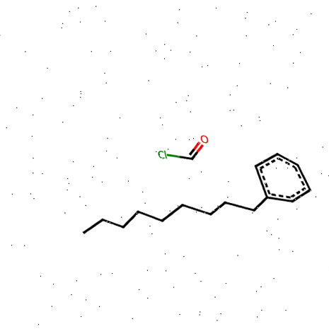 CCCCCCCCCc1ccccc1.O=CCl